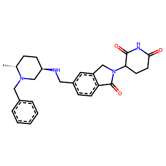 C[C@@H]1CC[C@@H](NCc2ccc3c(c2)CN(C2CCC(=O)NC2=O)C3=O)CN1Cc1ccccc1